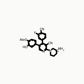 COc1ccc(-c2cnc(N3CCC[C@@H](N)C3)c(C#N)c2-c2ccc(C#N)c(F)c2)cc1O